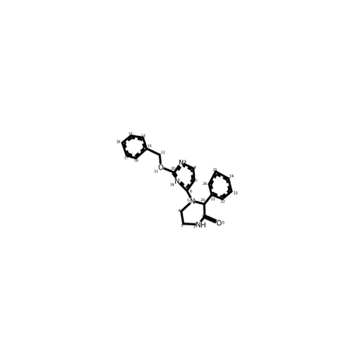 O=C1NCCN(c2ccnc(OCc3ccccc3)n2)C1c1ccccc1